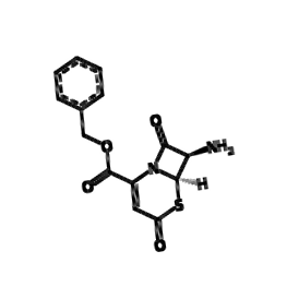 N[C@@H]1C(=O)N2C(C(=O)OCc3ccccc3)=CC(=O)S[C@H]12